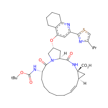 CC(C)c1csc(-c2cc(O[C@@H]3C[C@H]4C(=O)N[C@]5(C(=O)O)C[C@H]5/C=C\CCCCC[C@H](NC(=O)OC(C)(C)C)C(=O)N4C3)c3c(n2)CCCC3)n1